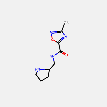 CC(C)(C)c1noc(C(=O)NCC2CCCN2)n1